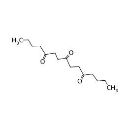 CCCCC(=O)CCC(=O)CCC(=O)CCCC